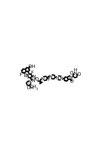 CCc1c(F)ccc2cc(O)cc(-c3ncc4c(N5CCC[C@@](C)(O)C5)nc(OCC5(CN6CCC(F)(CN7CCC(N8CCN(c9ccc%10c(c9)CN([C@H]9CCC(=O)NC9=O)C%10=O)CC8)CC7)CC6)CC5)nc4c3F)c12